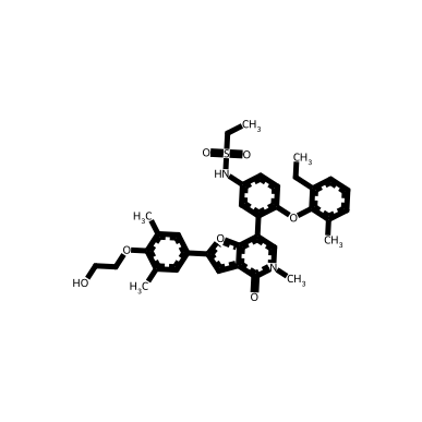 CCc1cccc(C)c1Oc1ccc(NS(=O)(=O)CC)cc1-c1cn(C)c(=O)c2cc(-c3cc(C)c(OCCO)c(C)c3)oc12